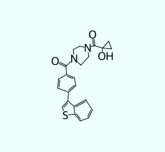 O=C(c1ccc(-c2csc3ccccc23)cc1)N1CCN(C(=O)C2(O)CC2)CC1